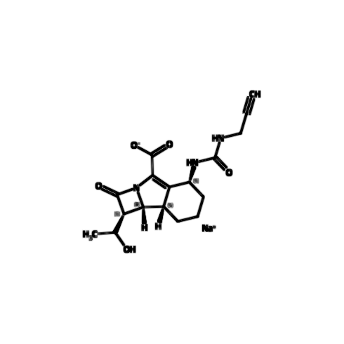 C#CCNC(=O)N[C@H]1CCC[C@H]2C1=C(C(=O)[O-])N1C(=O)[C@H](C(C)O)[C@@H]21.[Na+]